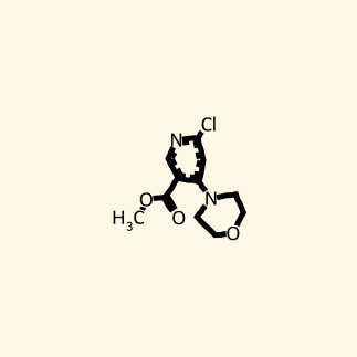 COC(=O)c1cnc(Cl)cc1N1CCOCC1